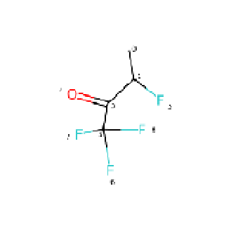 CC(F)C(=O)C(F)(F)F